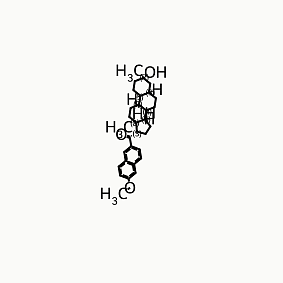 COc1ccc2cc(C(=O)[C@H]3CC[C@H]4[C@@H]5CC[C@H]6C[C@](C)(O)CC[C@@H]6[C@H]5CC[C@]34C)ccc2c1